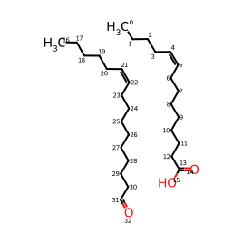 CCCC/C=C\CCCCCCCC(=O)O.CCCCC/C=C\CCCCCCCCC=O